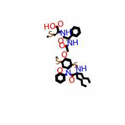 CCCCC1(CCCC)NSC2=C(C(=O)C(SC)C(OCC(=O)N[C@@H](C(=O)N[C@@H](CSC)C(=O)O)c3ccccc3)=C2)N(c2ccccc2)C1=O